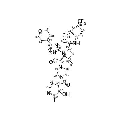 C[C@@H]1C[C@H](C(=O)Nc2ccc(C(F)(F)F)cc2Cl)n2c1c(N1CCN(C(=O)c3ccnc(F)c3O)CC1)c(=O)n1nc(C3=CCOCC3)nc21